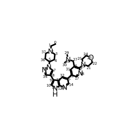 CCN1CCC(n2cc(-c3c[nH]c4ncc(-c5cnc(N6CCOCC6)c(CN(C)C)c5)cc34)cn2)CC1